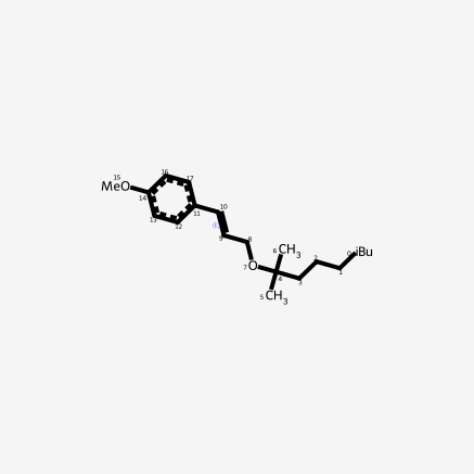 CCC(C)CCCC(C)(C)OC/C=C/c1ccc(OC)cc1